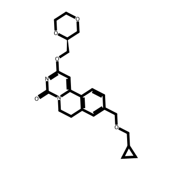 O=c1nc(OC[C@@H]2COCCO2)cc2n1CCc1cc(COCC3CC3)ccc1-2